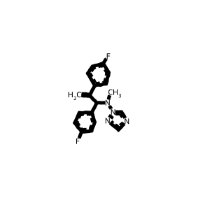 C=C(c1ccc(F)cc1)C(c1ccc(F)cc1)N(C)n1cncn1